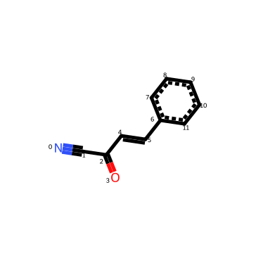 N#CC(=O)/C=C/c1ccccc1